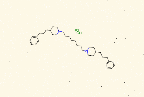 Cl.Cl.c1ccc(CCCC2CCN(CCCCCCCCN3CCC(CCCc4ccccc4)CC3)CC2)cc1